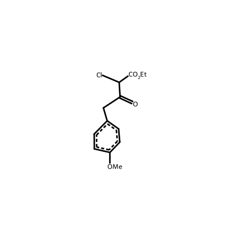 CCOC(=O)C(Cl)C(=O)Cc1ccc(OC)cc1